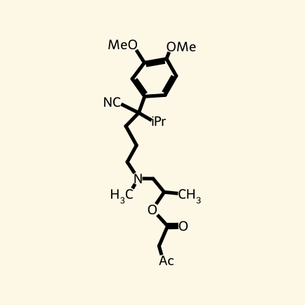 COc1ccc(C(C#N)(CCCN(C)CC(C)OC(=O)CC(C)=O)C(C)C)cc1OC